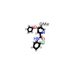 COc1cnc(C(=O)Nc2ccccc2Cl)cc1OC1CCCC1